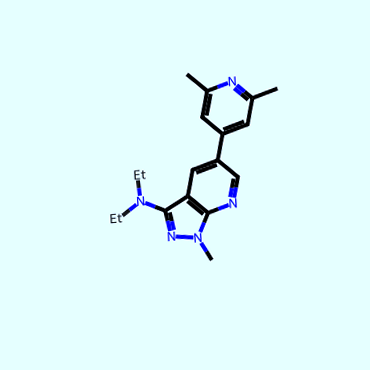 CCN(CC)c1nn(C)c2ncc(-c3cc(C)nc(C)c3)cc12